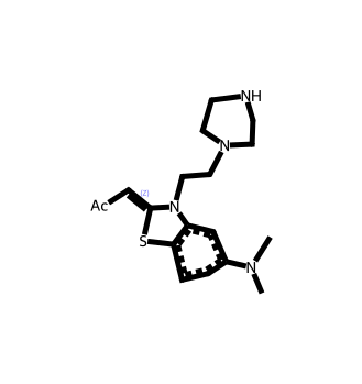 CC(=O)/C=C1\Sc2ccc(N(C)C)cc2N1CCN1CCNCC1